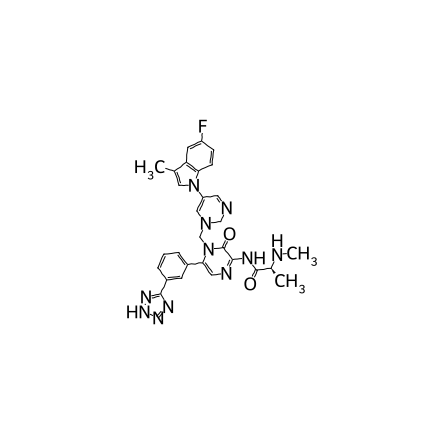 CN[C@@H](C)C(=O)Nc1ncc(-c2cccc(-c3nn[nH]n3)c2)n(CN2C=C(n3cc(C)c4cc(F)ccc43)C=NC2)c1=O